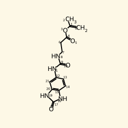 C=C(C)OC(=O)CCNC(=O)Nc1ccc2[nH]c(=O)[nH]c2c1